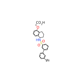 CC(C)c1cccc(-c2cccc(S(=O)(=O)NC3CCCc4c(OCC(=O)O)cccc43)c2)c1